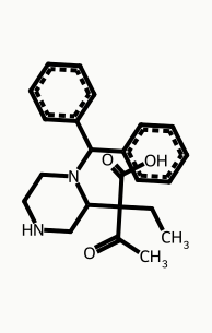 CCC(C(C)=O)(C(=O)O)C1CNCCN1C(c1ccccc1)c1ccccc1